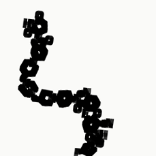 N#Cc1c(NS(=O)(=O)N2CC[C@@H](F)C2)ccc(F)c1Oc1ccc2ncn(-c3ccc(N4CCC(CN5CCN(CC6CCN(c7ccc8c(c7)CN([C@@H]7CCC(=O)NC7=O)C8=O)CC6)CC5)CC4)cc3)c(=O)c2c1